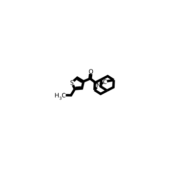 CCc1cc(C(=O)N2CC3CC4CC(C3)CC2C4)cs1